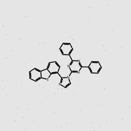 c1ccc(-c2nc(-c3ccccc3)nc(-n3ccnc3-c3cccc4c3sc3ccccc34)n2)cc1